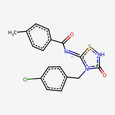 Cc1ccc(C(=O)/N=c2\s[nH]c(=O)n2Cc2ccc(Cl)cc2)cc1